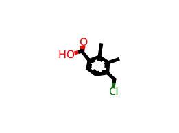 Cc1c(CCl)ccc(C(=O)O)c1C